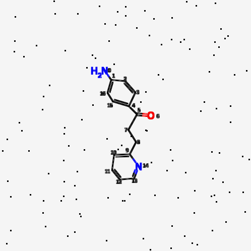 Nc1ccc(C(=O)CCc2ccccn2)cc1